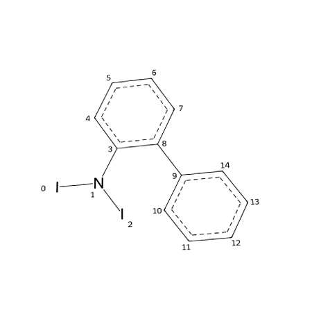 IN(I)c1ccccc1-c1ccccc1